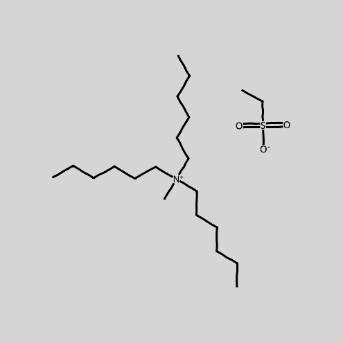 CCCCCC[N+](C)(CCCCCC)CCCCCC.CCS(=O)(=O)[O-]